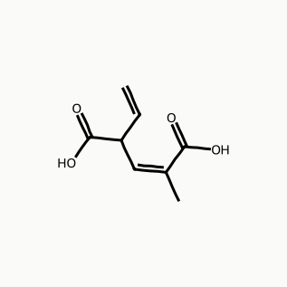 C=CC(C=C(C)C(=O)O)C(=O)O